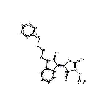 O=C(O)CN1C(=O)S/C(=C2\C(=O)N(CCCOc3ccccc3)c3ccccc32)C1=O